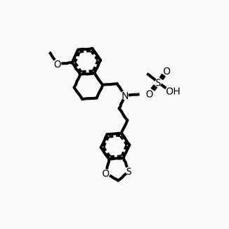 COc1cccc2c1CCCC2CN(C)CCc1ccc2c(c1)SCO2.CS(=O)(=O)O